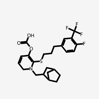 O=C(O)OC1=C(SCCCc2ccc(F)c(C(F)(F)F)c2)N(CC2CC3CCC2C3)CC=C1